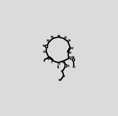 CCCO[C@H]1[C@H](C)/C=C(/C)COCCCCC/C=C/[C@@H]1OC